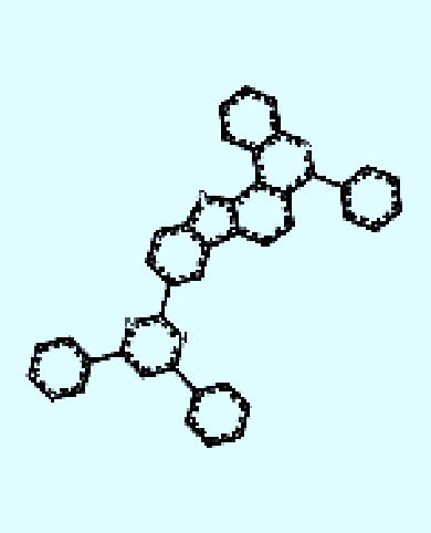 c1ccc(-c2cc(-c3ccccc3)nc(-c3ccc4oc5c(ccc6c(-c7ccccc7)nc7ccccc7c65)c4c3)n2)cc1